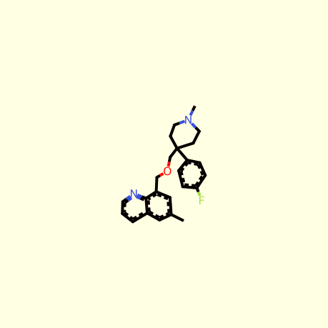 Cc1cc(COCC2(c3ccc(F)cc3)CCN(C)CC2)c2ncccc2c1